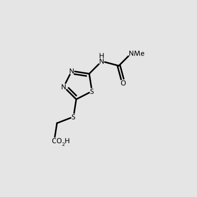 CNC(=O)Nc1nnc(SCC(=O)O)s1